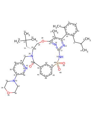 Cc1cccc(CC(C)C)c1-c1nc2nc(c1C)OC[C@@H](CC(C)(C)C)N(Cc1ccc(N3CCOCC3)cn1)C(=O)c1cccc(c1)S(=O)(=O)N2